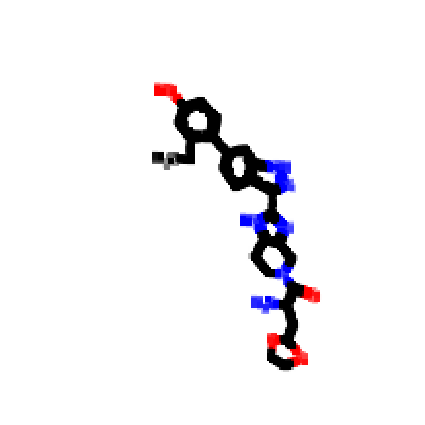 CCc1cc(O)ccc1-c1ccc2c(-c3nc4c([nH]3)CCN(C(=O)C(N)CC3OCCO3)C4)n[nH]c2c1